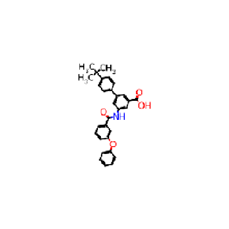 CC(C)(C)c1ccc(-c2cc(NC(=O)c3cccc(Oc4ccccc4)c3)cc(C(=O)O)c2)cc1